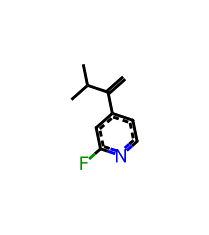 C=C(c1ccnc(F)c1)C(C)C